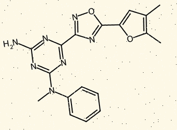 Cc1cc(-c2nc(-c3nc(N)nc(N(C)c4ccccc4)n3)no2)oc1C